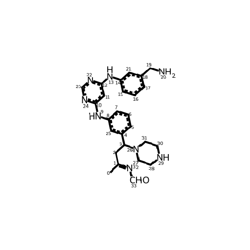 CC(CC(c1cccc(Nc2cc(Nc3cccc(CN)c3)ncn2)c1)N1CCNCC1)=NC=O